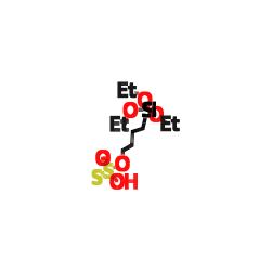 CCO[Si](CCCCOS(=O)(O)=S)(OCC)OCC